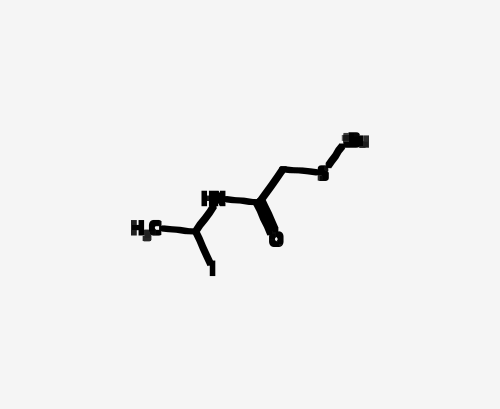 CC(I)NC(=O)CSC(C)(C)C